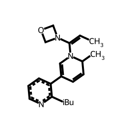 C/C=C(/N1COC1)N1C=C(c2cccnc2C(C)CC)C=CC1C